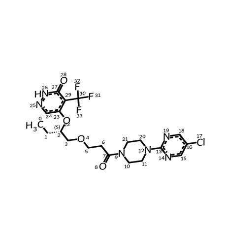 CC[C@@H](COCCC(=O)N1CCN(c2ncc(Cl)cn2)CC1)Oc1cn[nH]c(=O)c1C(F)(F)F